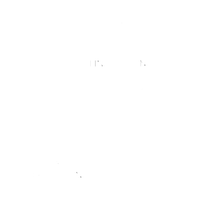 CSc1nc(=O)c(Cc2ccc(=O)[nH]c2)c[nH]1